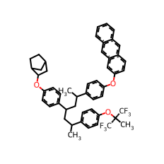 CC(CC(CC(C)c1ccc(OC(C)(C(F)(F)F)C(F)(F)F)cc1)c1ccc(OC2CC3CCC2C3)cc1)c1ccc(Oc2ccc3cc4ccccc4cc3c2)cc1